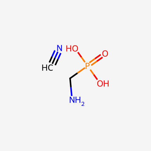 C#N.NCP(=O)(O)O